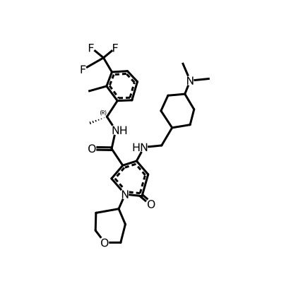 Cc1c([C@@H](C)NC(=O)c2cn(C3CCOCC3)c(=O)cc2NCC2CCC(N(C)C)CC2)cccc1C(F)(F)F